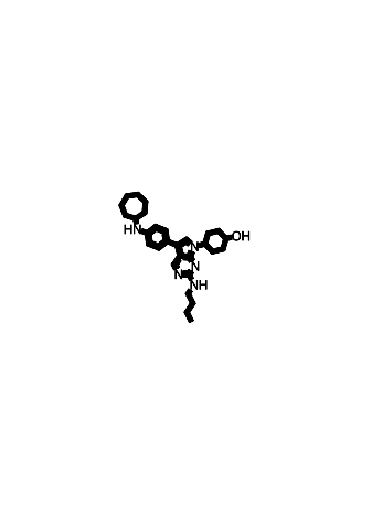 CCCCNc1ncc2c(-c3ccc(NC4CCCCCC4)cc3)cn(C3CCC(O)CC3)c2n1